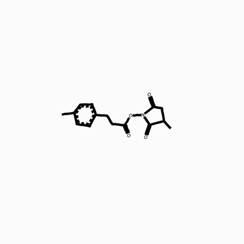 Cc1ccc(CCC(=O)ON2C(=O)CC(C)C2=O)cc1